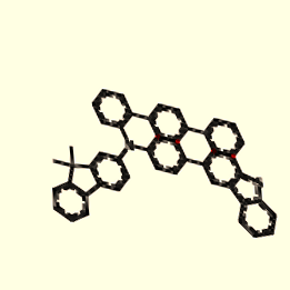 CC1(C)c2ccccc2-c2ccc(N(c3ccc(-c4ccc5sc6ccccc6c5c4)cc3)c3ccccc3-c3ccc(-c4ccccc4)cc3)cc21